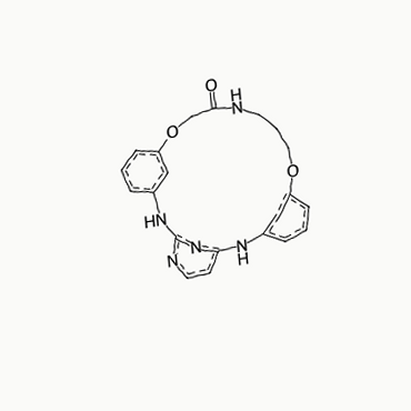 O=C1COc2cccc(c2)Nc2nccc(n2)Nc2cccc(c2)OCCCN1